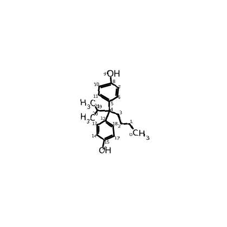 CCCCC(c1ccc(O)cc1)(c1ccc(O)cc1)C(C)C